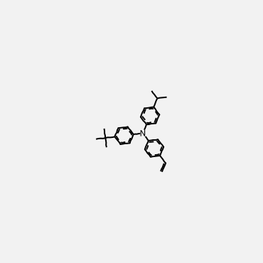 C=Cc1ccc(N(c2ccc(C(C)C)cc2)c2ccc(C(C)(C)C)cc2)cc1